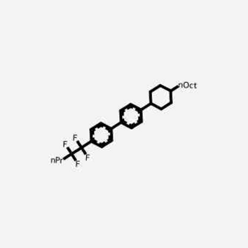 CCCCCCCCC1CCC(c2ccc(-c3ccc(C(F)(F)C(F)(F)CCC)cc3)cc2)CC1